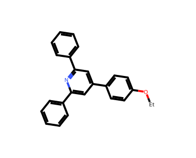 CCOc1ccc(-c2cc(-c3ccccc3)nc(-c3ccccc3)c2)cc1